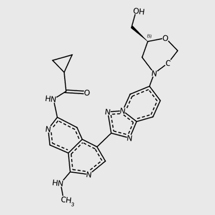 CNc1ncc(-c2nc3ccc(N4CCO[C@H](CO)C4)cn3n2)c2cc(NC(=O)C3CC3)ncc12